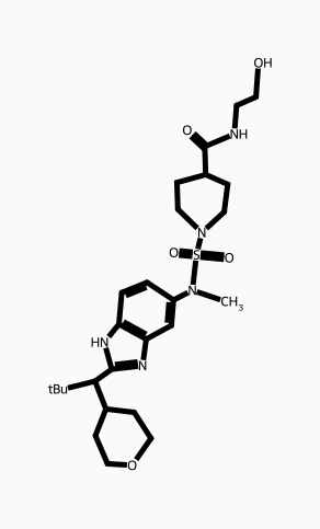 CN(c1ccc2[nH]c(C(C3CCOCC3)C(C)(C)C)nc2c1)S(=O)(=O)N1CCC(C(=O)NCCO)CC1